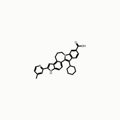 Cc1ccnc(-c2cc3c4c(ccc3[nH]2)-c2c(C3CCCCC3)c3ccc(C(=O)O)cc3n2CCC4)c1